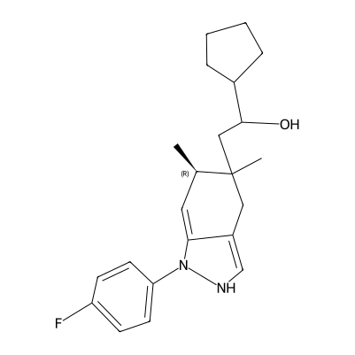 C[C@@H]1C=C2C(=CNN2c2ccc(F)cc2)CC1(C)CC(O)C1CCCC1